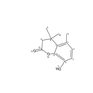 Cc1ccc(O)c2c1C(C)(C)CC(=O)O2